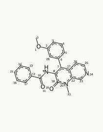 COc1cccc(-c2c(NC(=O)c3ccccc3)c(=O)n(C)c3cnccc23)c1